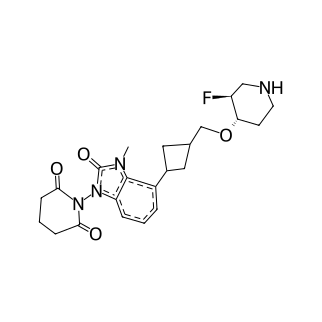 Cn1c(=O)n(N2C(=O)CCCC2=O)c2cccc(C3CC(CO[C@H]4CCNC[C@@H]4F)C3)c21